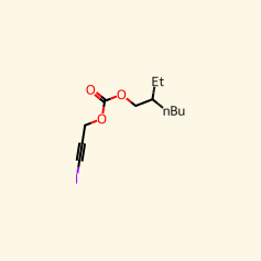 CCCCC(CC)COC(=O)OCC#CI